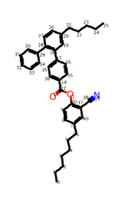 CCCCCCCc1ccc(OC(=O)c2ccc(-c3cc(CCCCC)ccc3-c3ccccc3)cc2)c(C#N)c1